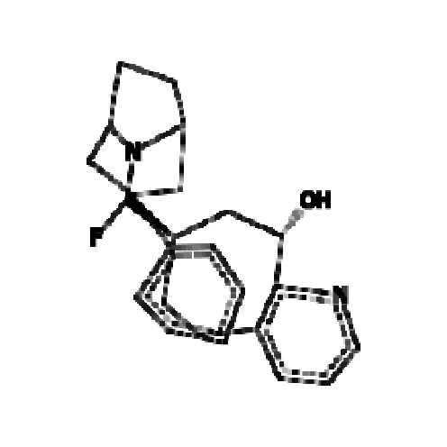 O[C@H]1C[C@H](CN2C3CCC2CC(F)(c2ccccc2)C3)CCc2cccnc21